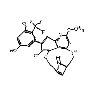 COc1nc2c3c(c(Cl)c(-c4cc(O)cc(Cl)c4C(F)(F)F)cc3n1)OCC1=CC(CN2)N1